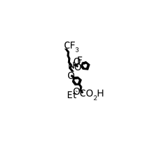 CCOC(Cc1ccc(OCCN(CCCCCC(F)(F)F)C(=O)Oc2ccccc2F)cc1)C(=O)O